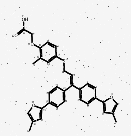 Cc1coc(-c2ccc(C(=CCSc3ccc(OCC(=O)O)c(C)c3)c3ccc(-c4cc(C)co4)cc3)cc2)c1